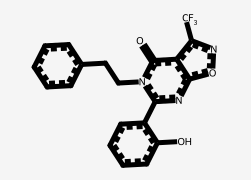 O=c1c2c(C(F)(F)F)noc2nc(-c2ccccc2O)n1CCc1ccccc1